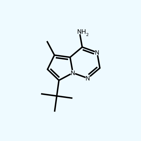 Cc1cc(C(C)(C)C)n2ncnc(N)c12